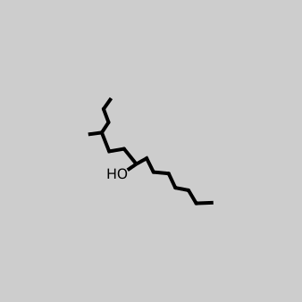 CCCCCCCC(O)CCC(C)CCC